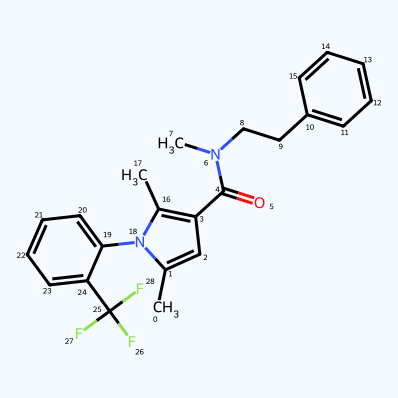 Cc1cc(C(=O)N(C)CCc2ccccc2)c(C)n1-c1ccccc1C(F)(F)F